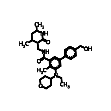 CCN(c1cc(-c2ccc(CO)cc2)cc(C(=O)NCC2C(=O)NC(C)CC2C)c1C)C1CCOCC1